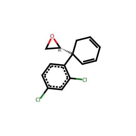 Clc1ccc(C2([C@@H]3CO3)C=CC=CC2)c(Cl)c1